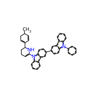 CC1C=CC(C2CCC=C(n3c4ccccc4c4cc(-c5ccc6c(c5)c5ccccc5n6-c5ccccc5)ccc43)N2)=CC1